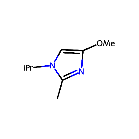 COc1cn(C(C)C)c(C)n1